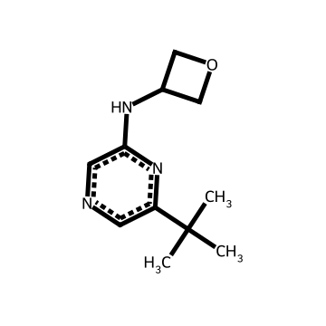 CC(C)(C)c1cncc(NC2COC2)n1